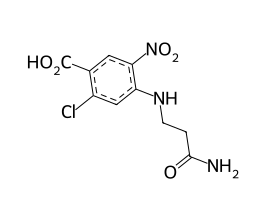 NC(=O)CCNc1cc(Cl)c(C(=O)O)cc1[N+](=O)[O-]